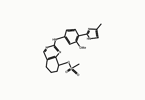 COc1cc(Nc2ncc3c(n2)C(OS(C)(=O)=O)CCC3)ccc1-c1nc(C)c[nH]1